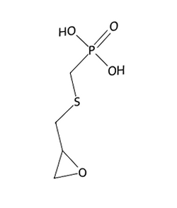 O=P(O)(O)CSCC1CO1